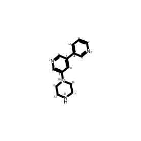 c1cncc(-c2cncc(N3CCNCC3)c2)c1